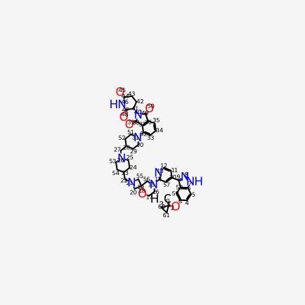 CC1(Oc2ccc3[nH]nc(-c4ccnc(N5CCOC6(CN(CC7CCN(CC8CCN(c9cccc%10c9C(=O)N(C9CCC(=O)NC9=O)C%10=O)CC8)CC7)C6)C5)c4)c3c2)CC1